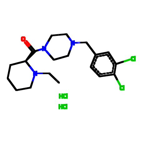 CCN1CCCC[C@H]1C(=O)N1CCN(Cc2ccc(Cl)c(Cl)c2)CC1.Cl.Cl